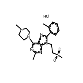 Cc1nc(N2CCN(C)CC2)c2nc(-c3ccccc3C)n(CCS(C)(=O)=O)c2n1.Cl